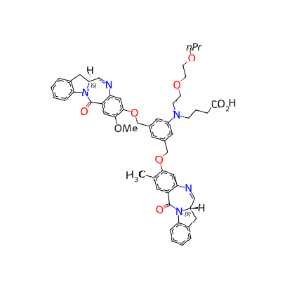 CCCOCCOCCN(CCCC(=O)O)c1cc(COc2cc3c(cc2C)C(=O)N2c4ccccc4C[C@H]2C=N3)cc(COc2cc3c(cc2OC)C(=O)N2c4ccccc4C[C@H]2C=N3)c1